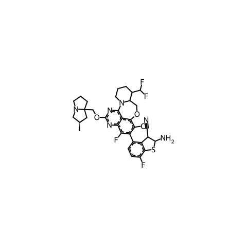 C[C@H]1CN2CCCC2(COc2nc3c4c(c(Cl)c(-c5ccc(F)c6c5C(C#N)C(N)S6)c(F)c4n2)OCC2C(C(F)F)CCCN32)C1